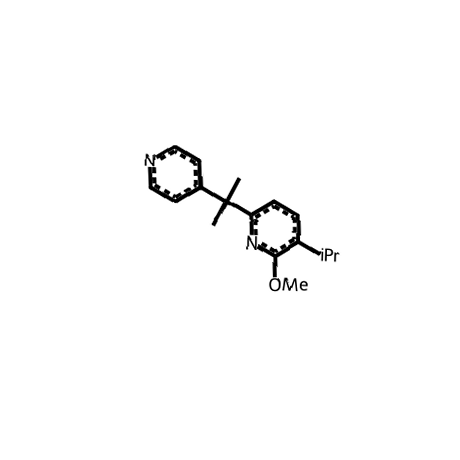 COc1nc(C(C)(C)c2ccncc2)ccc1C(C)C